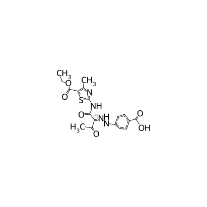 CCOC(=O)c1sc(NC(=O)/C(=N/Nc2ccc(C(=O)O)cc2)C(C)=O)nc1C